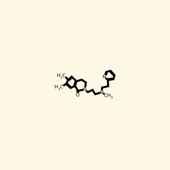 Cc1cc2c(cc1C)C(=O)N(CCCN(C)CCc1ccccn1)CC2